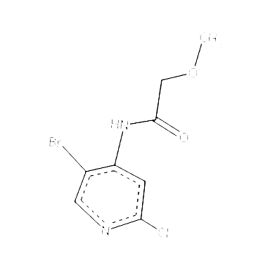 COCC(=O)Nc1cc(Cl)ncc1Br